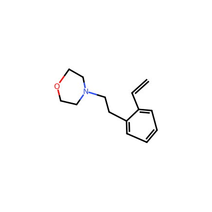 C=Cc1ccccc1CCN1CCOCC1